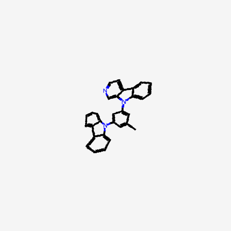 Cc1cc(-n2c3ccccc3c3ccccc32)cc(-n2c3ccccc3c3ccncc32)c1